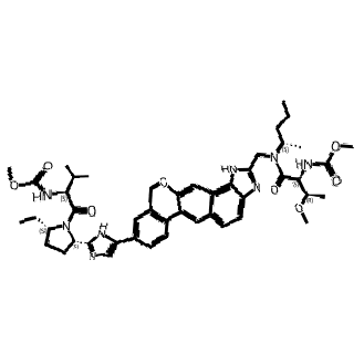 CCC[C@H](C)N(Cc1nc2ccc3cc4c(cc3c2[nH]1)OCc1cc(-c2cnc([C@@H]3CC[C@H](CC)N3C(=O)[C@@H](NC(=O)OC)C(C)C)[nH]2)ccc1-4)C(=O)[C@@H](NC(=O)OC)[C@@H](C)OC